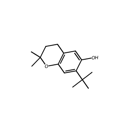 CC1(C)CCc2cc(O)c(C(C)(C)C)cc2O1